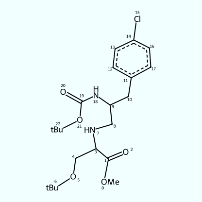 COC(=O)C(COC(C)(C)C)NCC(Cc1ccc(Cl)cc1)NC(=O)OC(C)(C)C